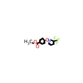 CCOC(=O)c1ccc(ON2C=CC=C(C(F)(F)F)C2)cc1